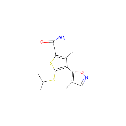 Cc1cnoc1-c1c(SC(C)C)sc(C(N)=O)c1C